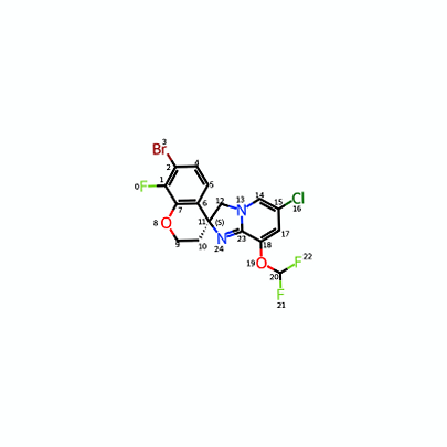 Fc1c(Br)ccc2c1OCC[C@@]21CN2C=C(Cl)C=C(OC(F)F)C2=N1